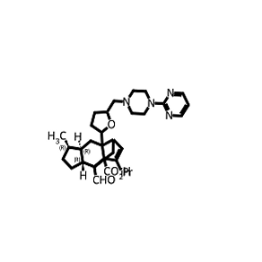 CC(C)C1=CC2CC3(C=O)[C@@H]4CC[C@@H](C)[C@H]4CC2(C2CCC(CN4CCN(c5ncccn5)CC4)O2)C13C(=O)O